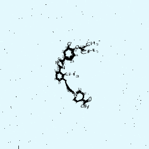 Cc1c(CCN2CCC(C(=O)O)CC2)cccc1-c1nsc(-c2ccc(OC(C)C)c(Cl)c2)n1